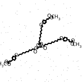 COC(=O)C=Cc1ccc(OCCCCCCCCCCC(=O)OCC(COC(=O)CCCCCCCCCCOc2ccc(C=CC(=O)OC)cc2)OC(=O)CCCCCCCCCCOc2ccc(C=CC(=O)OC)cc2)cc1